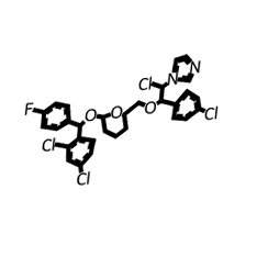 Fc1ccc(C(OC2CCCC(COC(c3ccc(Cl)cc3)C(Cl)n3ccnc3)O2)c2ccc(Cl)cc2Cl)cc1